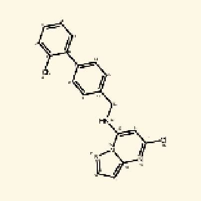 N#Cc1ccccc1-c1ccc(CNc2cc(Cl)nc3ccnn23)cc1